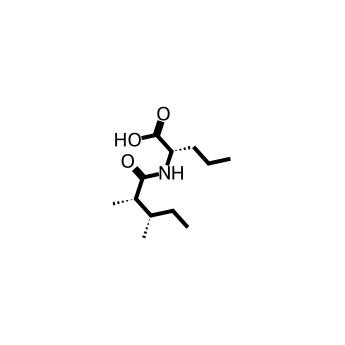 CCC[C@H](NC(=O)[C@@H](C)[C@@H](C)CC)C(=O)O